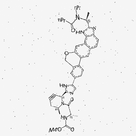 CCCC(=O)N(CCC)[C@@H](C)c1nc2ccc3cc4c(cc3c2[nH]1)OCc1cc(-c2cnc([C@@H]3C#CC[C@H](C)N3C(=O)[C@H](C)NC(=O)OC)[nH]2)ccc1-4